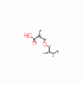 CCC(C)COCC(C)C(=O)O